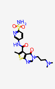 Cc1sc2ncn(CCCN(C)C)c(=O)c2c1C(=O)Nc1ccc(S(N)(=O)=O)nc1